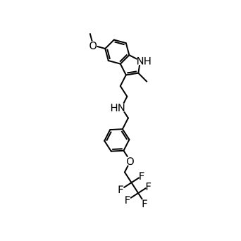 COc1ccc2[nH]c(C)c(CCNCc3cccc(OCC(F)(F)C(F)(F)F)c3)c2c1